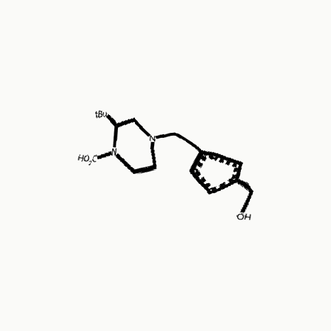 CC(C)(C)C1CN(Cc2ccc(CO)cc2)CCN1C(=O)O